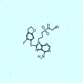 CC(C)CNS(=O)(=O)CCCn1c(Sc2cc3c(cc2I)CCO3)nc2c(N)ncnc21